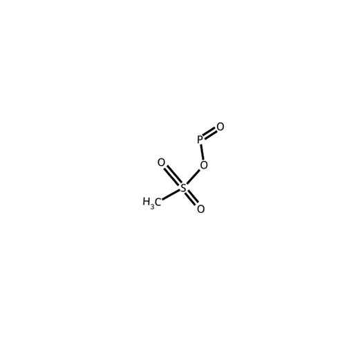 CS(=O)(=O)OP=O